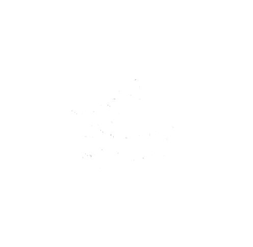 CC(C)NC(C)(C)c1ccc(Nc2nn(C3(CC#N)CCN(C(=O)OC(C)(C)C)CC3F)c3cc[nH]c(=O)c23)cc1